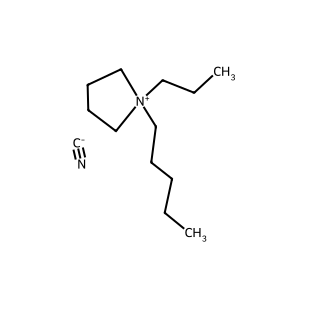 CCCCC[N+]1(CCC)CCCC1.[C-]#N